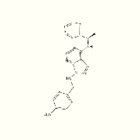 C[C@@H](Nc1ncnc2c1cnn2NCc1ccc([N+](=O)[O-])cc1)c1ccccc1